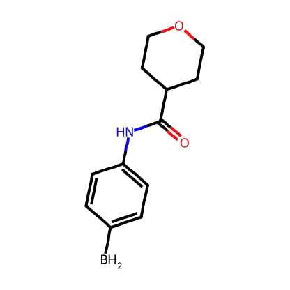 Bc1ccc(NC(=O)C2CCOCC2)cc1